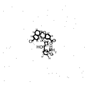 C[C@H](/C=C/[C@H](O)[C@@H]1CC[C@H]1CN1C[C@@]2(CCCc3cc(Cl)ccc32)COc2ccc(C(=O)O)cc21)[C@H](C)S(N)(=O)=O